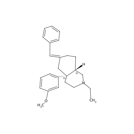 CCN1CC[C@@]2(c3cccc(OC)c3)CC(=Cc3ccccc3)CC[C@@H]2C1